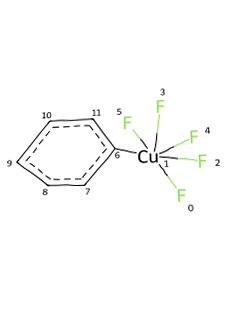 [F][Cu]([F])([F])([F])([F])[c]1ccccc1